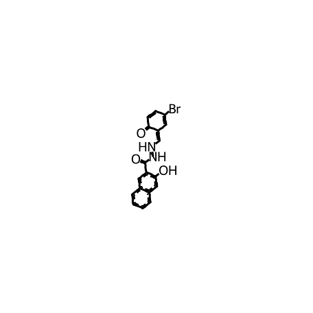 O=C1C=CC(Br)=C/C1=C/NNC(=O)c1cc2ccccc2cc1O